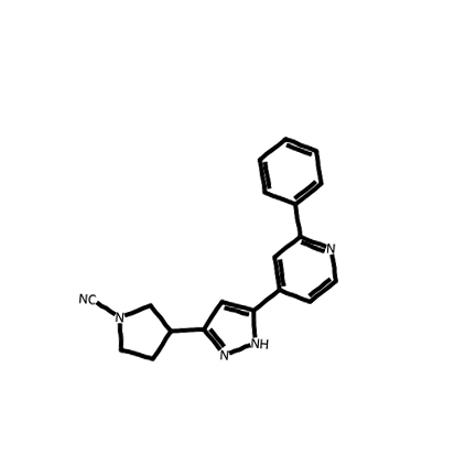 N#CN1CCC(c2cc(-c3ccnc(-c4ccccc4)c3)[nH]n2)C1